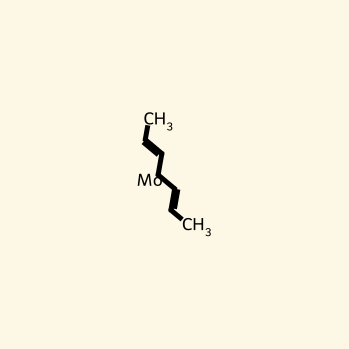 CC=CCC=CC.[Mo]